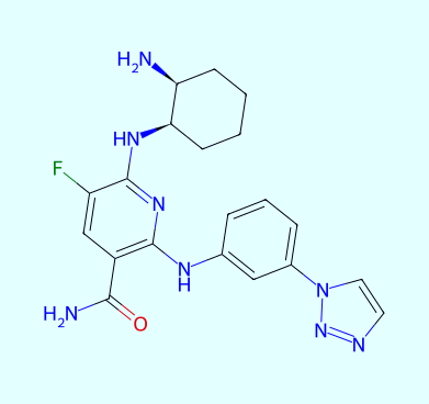 NC(=O)c1cc(F)c(N[C@@H]2CCCC[C@@H]2N)nc1Nc1cccc(-n2ccnn2)c1